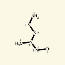 CCNN(C)SSN